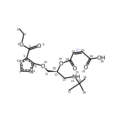 CCOC(=O)c1scnc1OC[C@H](CNC(C)(C)C)OC(=O)/C=C\C(=O)O